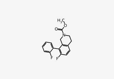 COC(=O)N1CCc2ccc(F)c(-c3ccccc3F)c2C1